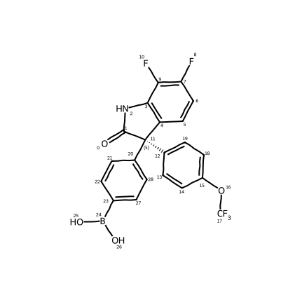 O=C1Nc2c(ccc(F)c2F)[C@@]1(c1ccc(OC(F)(F)F)cc1)c1ccc(B(O)O)cc1